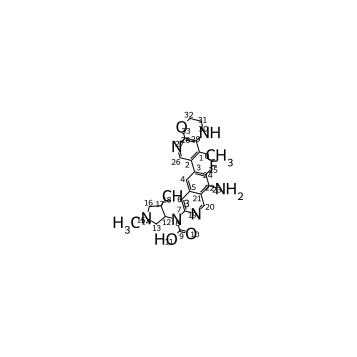 Cc1c(-c2cc3cc(N(C(=O)O)C4CN(C)CC4C)ncc3c(N)c2F)cnc2c1NCCO2